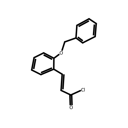 O=C(Cl)C=Cc1ccccc1OCc1ccccc1